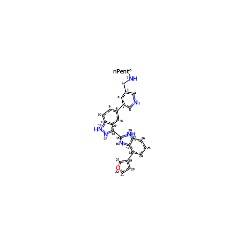 CCCCCNCc1cncc(-c2ccc3[nH]nc(-c4nc5c(-c6ccoc6)cccc5[nH]4)c3c2)c1